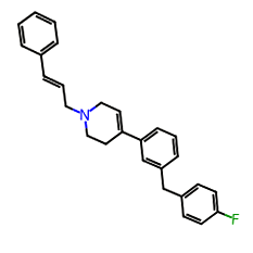 Fc1ccc(Cc2cccc(C3=CCN(C/C=C/c4ccccc4)CC3)c2)cc1